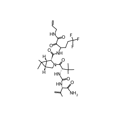 C=CCNC(=O)C(=O)C(CCC(F)(F)F)NC(=O)[C@@H]1[C@@H]2[C@H](CN1C(=O)[C@@H](NC(=O)N[C@@H](C(=C)C)C(N)=O)C(C)(C)C)C2(C)C